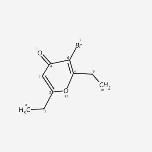 CCc1cc(=O)c(Br)c(CC)o1